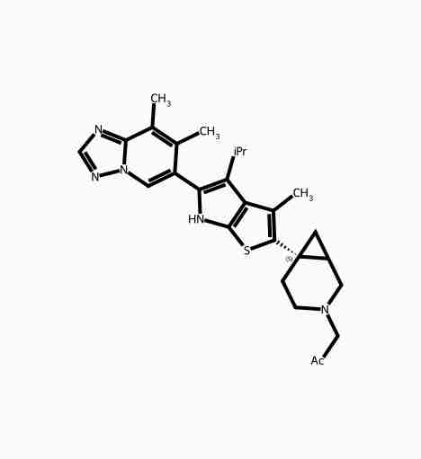 CC(=O)CN1CC[C@@]2(c3sc4[nH]c(-c5cn6ncnc6c(C)c5C)c(C(C)C)c4c3C)CC2C1